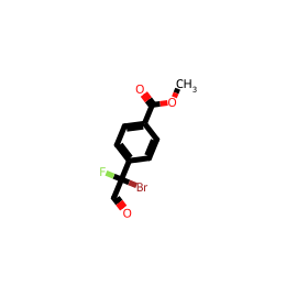 COC(=O)c1ccc(C(F)(Br)C=O)cc1